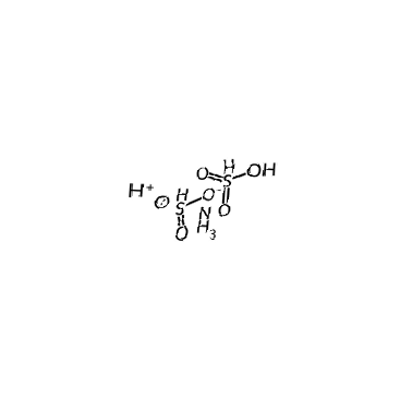 N.O=[SH](=O)O.O=[SH](=O)[O-].[H+]